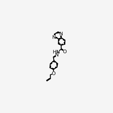 C=CCOc1ccc(C=NNC(=O)c2ccc3nccnc3c2)cc1